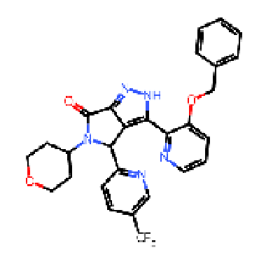 O=C1c2n[nH]c(-c3ncccc3OCc3ccccc3)c2C(c2ccc(C(F)(F)F)cn2)N1C1CCOCC1